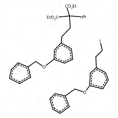 CCCC(CCc1cccc(OCc2ccccc2)c1)(C(=O)OCC)C(=O)OCC.ICCc1cccc(OCc2ccccc2)c1